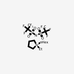 CCCCCC[N+]1(CC)CCCC1.O=S(=O)([N-]S(=O)(=O)C(F)(F)C(F)(F)F)C(F)(F)C(F)(F)F